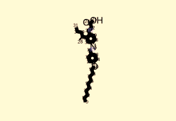 CCCCCCCCCCOc1ccc(/C=N/c2ccc(/C=C/C(=O)O)c([C@@H](C)CCC)c2)cc1